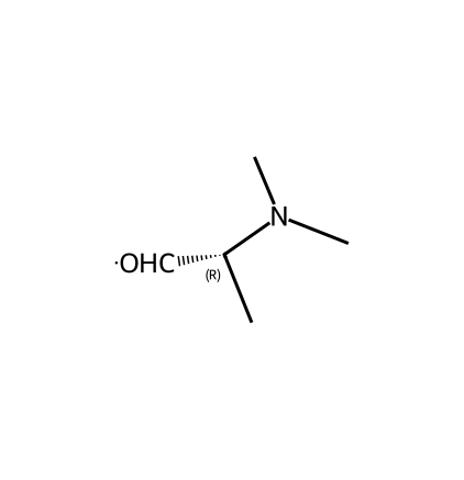 C[C@H]([C]=O)N(C)C